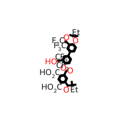 CCC(C)(C)C(=O)c1cc(C(=O)Oc2ccc(-c3ccc4c(c3)C(C(F)(F)F)(C(F)(F)F)OC[C@@](C)(CC)O4)cc2C(O)(C(F)(F)F)C(F)(F)F)c(C(=O)O)cc1C(=O)O